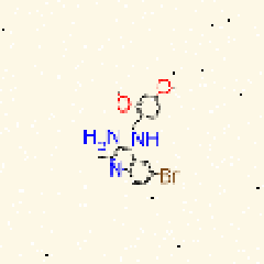 COc1ccc(CNc2c(N)c(C)nc3ccc(Br)cc23)c(OC)c1